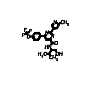 CC(C)C(CO)NC(=O)c1cc(-c2ccc(OC(F)(F)F)cc2)nc(-c2cnn(C)c2)n1